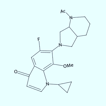 COc1c(N2CC3CCCN(C(C)=O)C3C2)c(F)cc2c(=O)ccn(C3CC3)c12